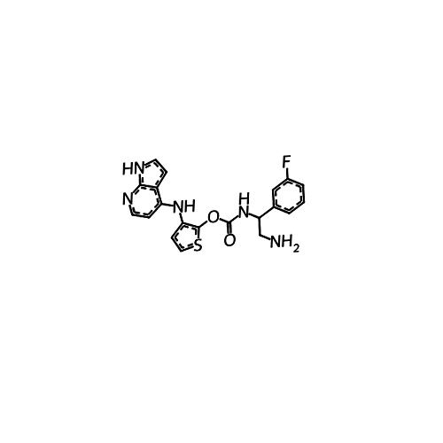 NCC(NC(=O)Oc1sccc1Nc1ccnc2[nH]ccc12)c1cccc(F)c1